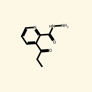 CCC(=O)c1cccnc1C(=O)NN